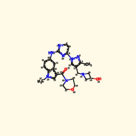 Cc1nn(-c2ccnc(Nc3ccc4c(c3)c(C(=O)N3CCOCC3)cn4C)n2)cc1CN1CC(O)C1